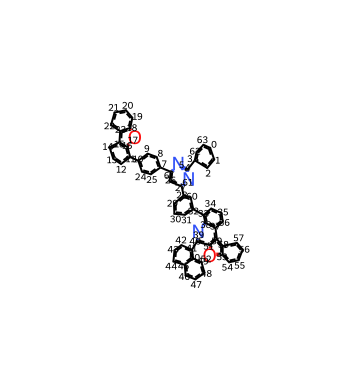 c1ccc(-c2nc(-c3ccc(-c4cccc5c4oc4ccccc45)cc3)cc(-c3cccc(-c4cccc5c4nc(-c4cccc6ccccc46)c4oc6ccccc6c45)c3)n2)cc1